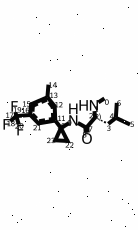 CN[C@H](CC(C)C)C(=O)NC1(c2cc(C)cc(C(F)(F)F)c2)CC1